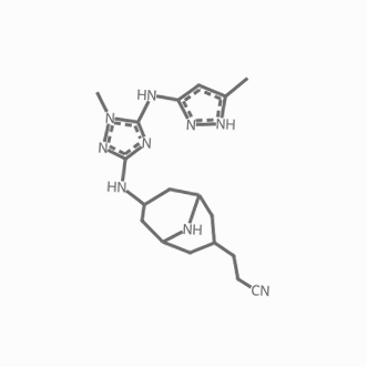 Cc1cc(Nc2nc(NC3CC4CC(CCC#N)CC(C3)N4)nn2C)n[nH]1